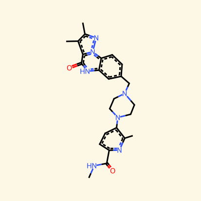 CNC(=O)c1ccc(N2CCN(Cc3ccc4c(c3)[nH]c(=O)c3c(C)c(C)nn34)CC2)c(C)n1